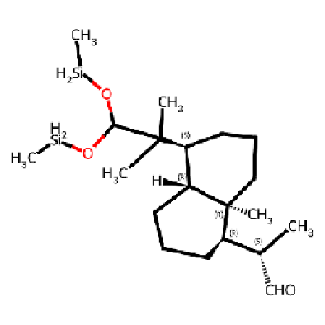 C[SiH2]OC(O[SiH2]C)C(C)(C)[C@H]1CCC[C@@]2(C)[C@@H]([C@H](C)C=O)CCC[C@H]12